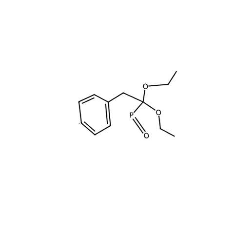 CCOC(Cc1cc[c]cc1)(OCC)P=O